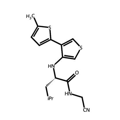 Cc1ccc(-c2cscc2N[C@@H](CC(C)C)C(=O)NCC#N)s1